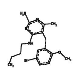 CCCCNc1nc(N)nc(C)c1Cc1cc(Br)ccc1OC